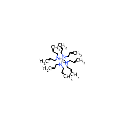 C=CCN(CC=C)[Te](N(CC=C)CC=C)(N(CC=C)CC=C)N(CC=C)CC=C